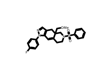 COCC12Cc3cnn(-c4ccc(F)cc4)c3C=C1CCN(S(=O)(=O)c1ccccc1)C2